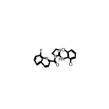 O=C(c1ccc2cccc(F)c2n1)N1CCN=C1Nc1c(Cl)cccc1Cl